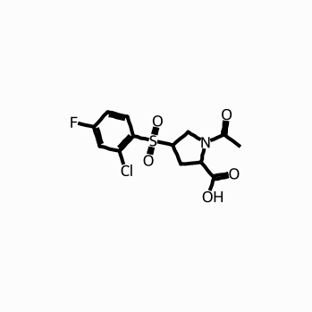 CC(=O)N1CC(S(=O)(=O)c2ccc(F)cc2Cl)CC1C(=O)O